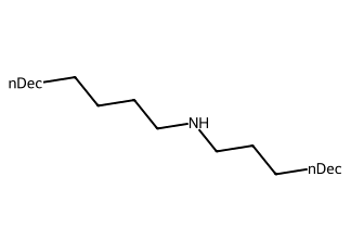 CCCCCCCCCCCCCCNCCCCCCCCCCCCC